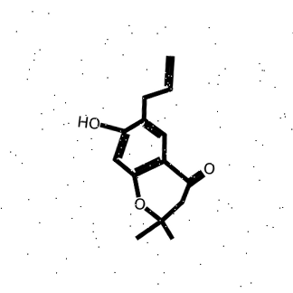 C=CCc1cc2c(cc1O)OC(C)(C)CC2=O